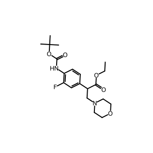 CCOC(=O)C(CN1CCOCC1)c1ccc(NC(=O)OC(C)(C)C)c(F)c1